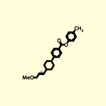 COC/C=C/C1CCC(c2ccc(C(=O)Oc3ccc(C)cc3)cc2)CC1